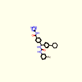 CC(=O)c1cccc(NC(=O)NC(c2ccc(C(=O)Nc3nn[nH]n3)cc2)c2ccc(C3CCCCC3)cc2)c1